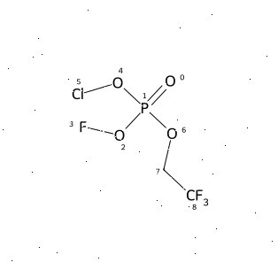 O=P(OF)(OCl)OCC(F)(F)F